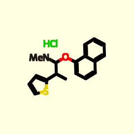 CNC(Oc1cccc2ccccc12)C(C)c1cccs1.Cl